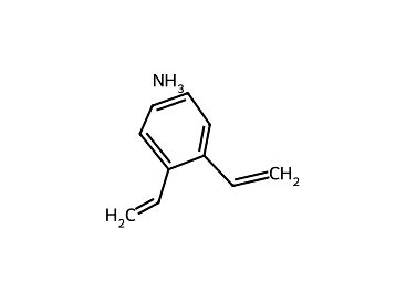 C=Cc1ccccc1C=C.N